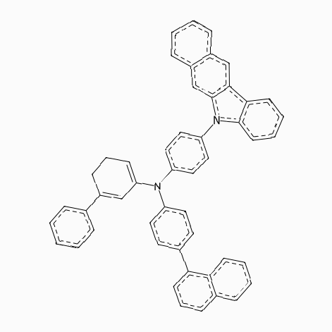 C1=C(c2ccccc2)CCC=C1N(c1ccc(-c2cccc3ccccc23)cc1)c1ccc(-n2c3ccccc3c3cc4ccccc4cc32)cc1